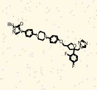 CCC(C)n1ncn(-c2ccc(N3CCN(c4ccc(OCC5COC(Cn6cncn6)(c6ccc(F)cc6F)C5)cc4)CC3)cc2)c1=O